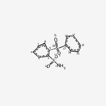 NS(=O)(=O)c1ccccc1S(=O)(=O)c1ccccc1